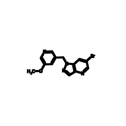 COc1cncc(Cn2ncc3ncc(Br)cc32)c1